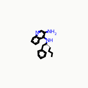 CCCC[C@H](Cc1ccccc1)Nc1c(N)cnc2ccccc12